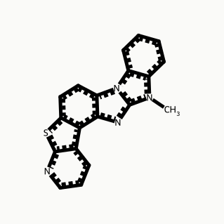 Cn1c2ccccc2n2c3ccc4sc5ncccc5c4c3nc12